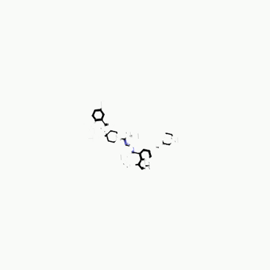 C=N/C(=C\N=C(/C)c1cc(OC[C@H]2CNCCO2)cn2ncc(C#N)c12)N1CCC(C)(NC(=O)c2cc(F)ccc2C(F)(F)F)CC1